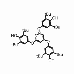 CC(C)(C)c1cc(OC2=CN(Oc3cc(C(C)(C)C)c(O)c(C(C)(C)C)c3)SC(Oc3cc(C(C)(C)C)c(O)c(C(C)(C)C)c3)=C2)cc(C(C)(C)C)c1O